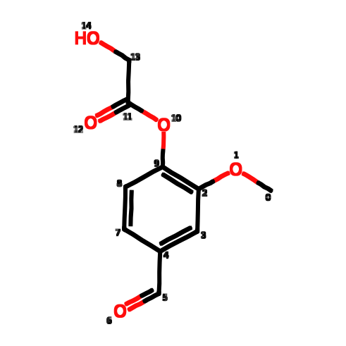 COc1cc(C=O)ccc1OC(=O)CO